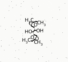 CC[C@]1(C)OC[C@@H](C(O)C(O)[C@@H]2CO[C@@](C)(CC)O2)O1